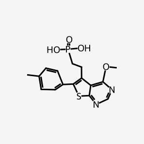 COc1ncnc2sc(-c3ccc(C)cc3)c(CCP(=O)(O)O)c12